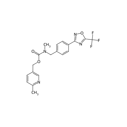 Cc1ccc(COC(=O)N(C)Cc2ccc(-c3noc(C(F)(F)F)n3)cc2)cn1